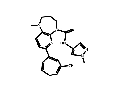 C=C(Nc1cnn(C)c1)N1CCCN(C)c2ccc(C3=CC(C(F)(F)F)=CCC=C3)nc21